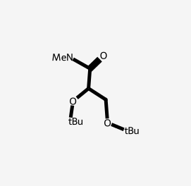 CNC(=O)C(COC(C)(C)C)OC(C)(C)C